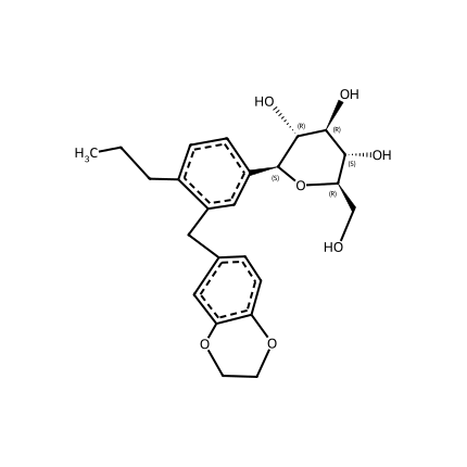 CCCc1ccc([C@@H]2O[C@H](CO)[C@@H](O)[C@H](O)[C@H]2O)cc1Cc1ccc2c(c1)OCCO2